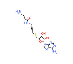 NCCCC(=O)NCC#CCSC[C@H]1O[C@@H](n2cnc3c(N)ncnc32)[C@H](O)[C@@H]1O